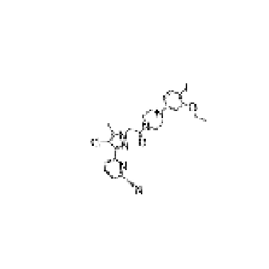 CCOc1cc(N2CCN(C(=O)Cn3nc(-c4cccc(C#N)n4)c(Cl)c3C)CC2)ccc1I